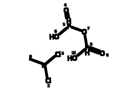 CC(Cl)Cl.O=[PH](O)O[PH](=O)O